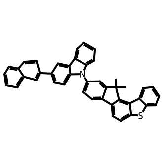 CC1(C)c2cc(-n3c4ccccc4c4cc(-c5ccc6ccccc6c5)ccc43)ccc2-c2ccc3sc4ccccc4c3c21